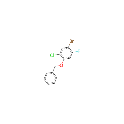 Fc1cc(OCc2ccccc2)c(Cl)cc1Br